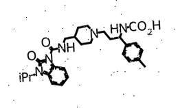 Cc1ccc(C(CCN2CCC(CNC(=O)n3c(=O)n(C(C)C)c4ccccc43)CC2)NC(=O)O)cc1